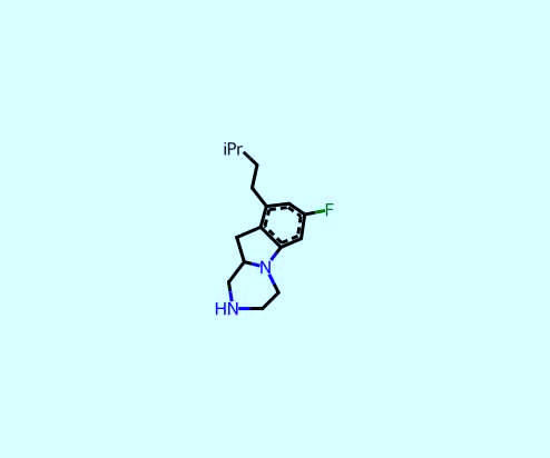 CC(C)CCc1cc(F)cc2c1CC1CNCCN21